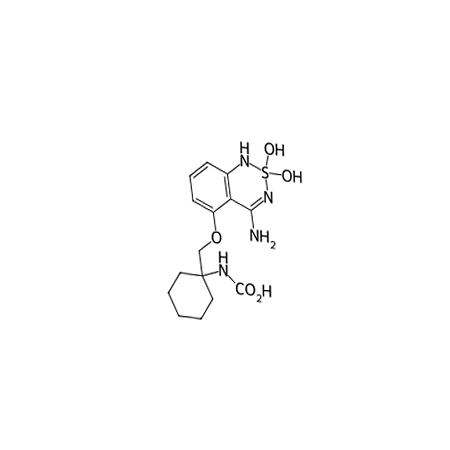 NC1=NS(O)(O)Nc2cccc(OCC3(NC(=O)O)CCCCC3)c21